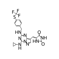 O=C1NC(=O)/C(=C/c2cnn3c(NC4CC4)nc(NCc4ccc(SC(F)(F)F)cc4)nc23)N1